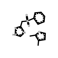 Cc1ccoc1C.O=S(=O)(Cc1nc[nH]n1)c1ccccc1